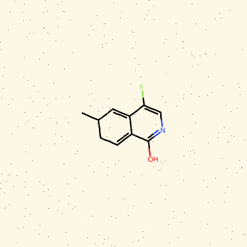 CC1C=c2c(F)cnc(O)c2=CC1